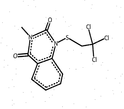 Cn1c(=O)c2ccccc2n(SCC(Cl)(Cl)Cl)c1=O